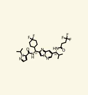 CC(C)[C@@H](NC(=O)CCC(F)(F)F)c1cnn2cc([C@@H](NC(=O)c3ccnn3C(C)C)C3CCC(F)(F)CC3)nc2c1